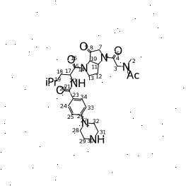 CC(=O)N(C)CC(=O)N1CC(=O)C2C1CCN2C(=O)C(CC(C)C)NC(=O)c1ccc(N2CCNCC2)cc1